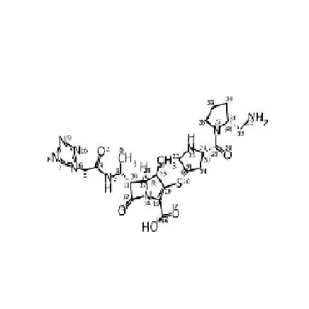 CC(NC(=O)Cn1cnnn1)[C@H]1C(=O)N2C(C(=O)O)=C(S[C@@H]3CN[C@H](C(=O)N4CCC[C@@H]4CN)C3)[C@H](C)[C@H]12